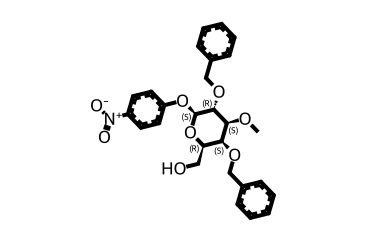 CO[C@H]1[C@@H](OCc2ccccc2)[C@@H](CO)O[C@@H](Oc2ccc([N+](=O)[O-])cc2)[C@@H]1OCc1ccccc1